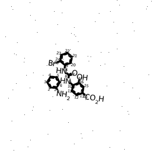 Nc1ccccc1.O=C(Nc1ccc(C(=O)O)cc1O)Nc1ccccc1Br